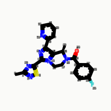 Cc1nsc(-c2nc(-c3ccccn3)c3n2CCN(C(=O)c2ccc(F)cc2)[C@@H]3C)n1